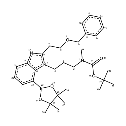 CN(CCCn1c(CCOCc2ccccc2)nc2cccc(B3OC(C)(C)C(C)(C)O3)c21)C(=O)OC(C)(C)C